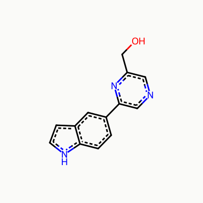 OCc1cncc(-c2ccc3[nH]ccc3c2)n1